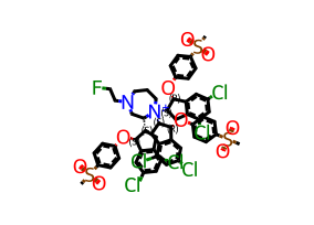 CS(=O)(=O)c1ccc(O[C@@H]2c3cc(Cl)cc(Cl)c3C[C@H]2C2CN(CCF)CCC[N+]2([C@H]2Cc3c(Cl)cc(Cl)cc3[C@H]2Oc2ccc(S(C)(=O)=O)cc2)[C@H]2Cc3c(Cl)cc(Cl)cc3[C@H]2Oc2ccc(S(C)(=O)=O)cc2)cc1